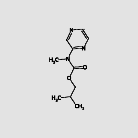 CC(C)COC(=O)N(C)c1cn[c]cn1